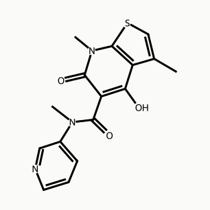 Cc1csc2c1c(O)c(C(=O)N(C)c1cccnc1)c(=O)n2C